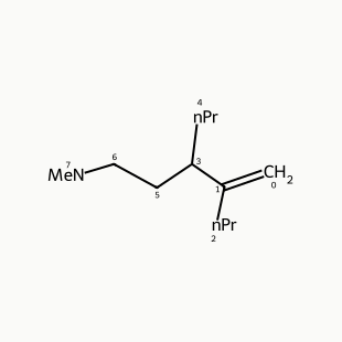 C=C(CCC)C(CCC)CCNC